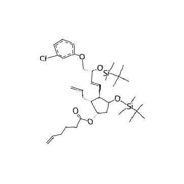 C=CCCCC(=O)O[C@H]1CC(O[Si](C)(C)C(C)(C)C)[C@H](/C=C/[C@H](COc2cccc(Cl)c2)O[Si](C)(C)C(C)(C)C)[C@H]1CC=C